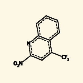 O=[N+]([O-])c1cc(C(F)(F)F)c2ccccc2n1